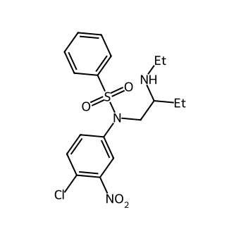 CCNC(CC)CN(c1ccc(Cl)c([N+](=O)[O-])c1)S(=O)(=O)c1ccccc1